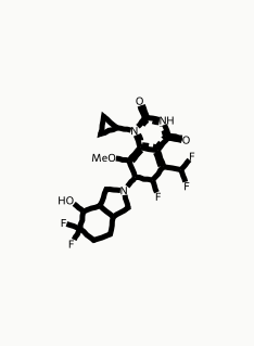 COC1=c2c(c(=O)[nH]c(=O)n2C2CC2)=C(C(F)F)C(F)C1N1CC2CCC(F)(F)C(O)C2C1